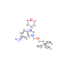 C[Si](C)(C)CCOCN1CN(C2CCOCC2)c2ccc(N)cc21